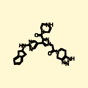 O=C(Cn1cc(-c2cnc(NC3Cc4ccccc4C3)nc2)c(C(=O)N2CCNCC2)n1)N1CCc2[nH]nnc2C1